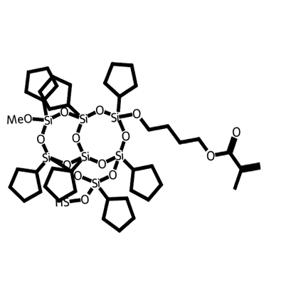 C=C(C)C(=O)OCCCCO[Si]1(C2CCCC2)O[Si]2(C3CCCC3)O[Si](OC)(C3CCCC3)O[Si]3(C4CCCC4)O[Si](OS)(C4CCCC4)O[Si](C4CCCC4)(O1)O[Si](C1CCCC1)(O3)O2